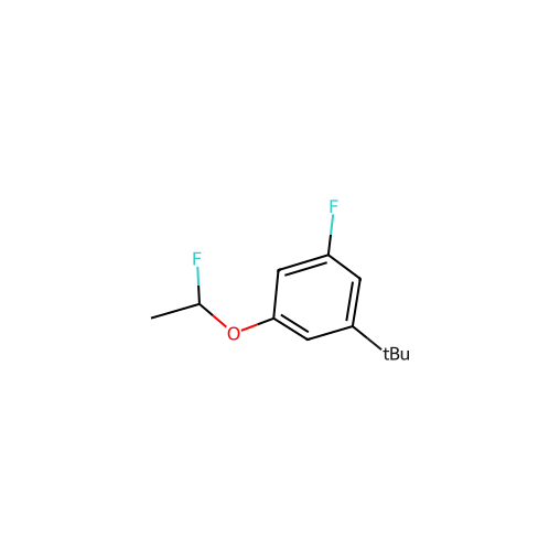 CC(F)Oc1cc(F)cc(C(C)(C)C)c1